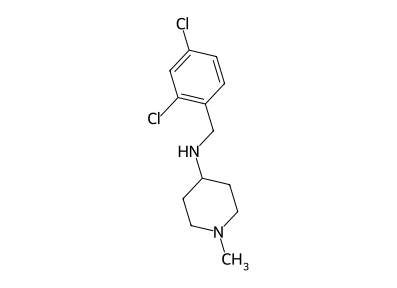 CN1CCC(NCc2ccc(Cl)cc2Cl)CC1